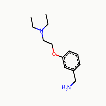 CCN(CC)CCOc1cccc(CN)c1